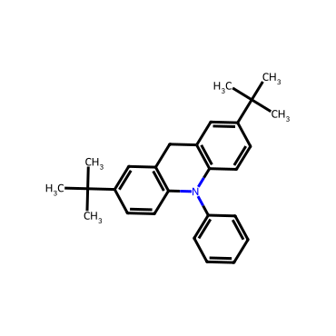 CC(C)(C)c1ccc2c(c1)Cc1cc(C(C)(C)C)ccc1N2c1ccccc1